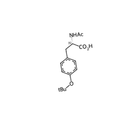 CC(=O)N[C@@H](Cc1ccc(OC(C)(C)C)cc1)C(=O)O